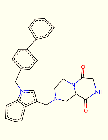 O=C1NCC(=O)N2CCN(Cc3cn(Cc4ccc(-c5ccccc5)cc4)c4ccccc34)CC12